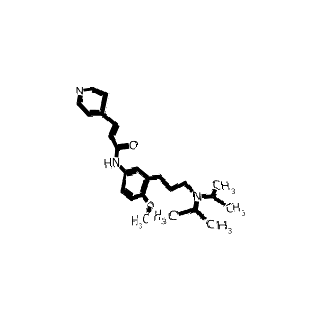 COc1ccc(NC(=O)C=Cc2ccncc2)cc1CCCN(C(C)C)C(C)C